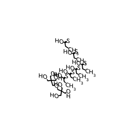 CCC(O)=S.CCC(O)=S.CCC(O)=S.CCC(O)=S.CCC(O)=S.CCC(O)=S.OCC(CO)(CO)COCC(CO)(CO)CO